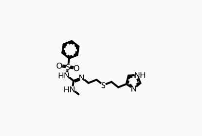 CNC(=NCCSCCc1c[nH]cn1)NS(=O)(=O)c1ccccc1